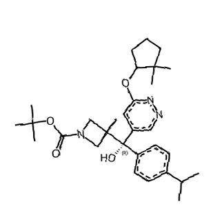 CC(C)c1ccc([C@](O)(c2cnnc(OC3CCCC3(C)C)c2)C2(C)CN(C(=O)OC(C)(C)C)C2)cc1